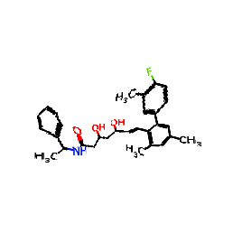 Cc1cc(C)c(/C=C/C(O)CC(O)CC(=O)N[C@@H](C)c2ccccc2)c(-c2ccc(F)c(C)c2)c1